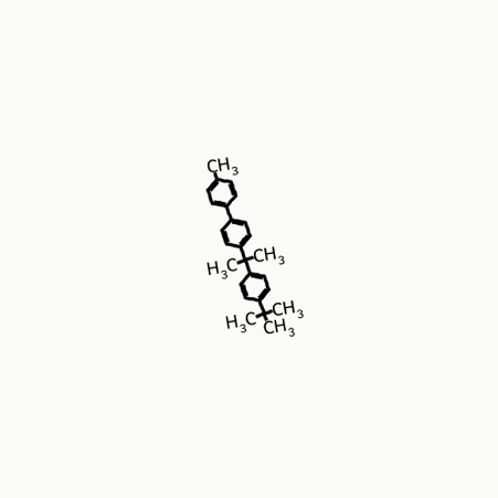 Cc1ccc(-c2ccc(C(C)(C)c3ccc(C(C)(C)C)cc3)cc2)cc1